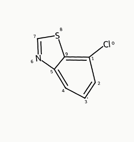 Clc1c[c]cc2ncsc12